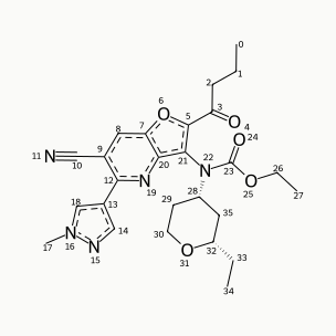 CCCC(=O)c1oc2cc(C#N)c(-c3cnn(C)c3)nc2c1N(C(=O)OCC)[C@H]1CCO[C@@H](CC)C1